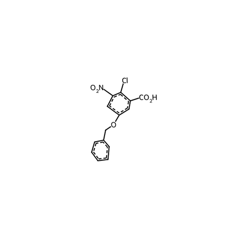 O=C(O)c1cc(OCc2ccccc2)cc([N+](=O)[O-])c1Cl